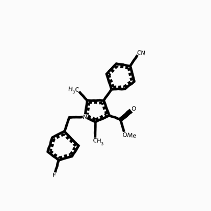 COC(=O)c1c(-c2ccc(C#N)cc2)c(C)n(Cc2ccc(F)cc2)c1C